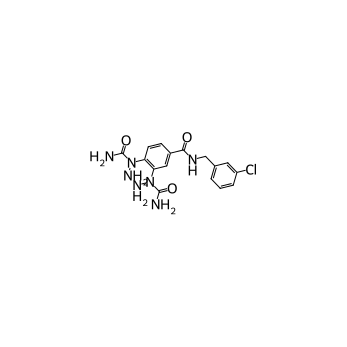 NC(=O)N(N)c1ccc(C(=O)NCc2cccc(Cl)c2)cc1N(N)C(N)=O